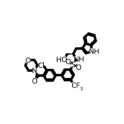 O=C(c1ccc(-c2cc(C(F)(F)F)cc(S(=O)(=O)N[C@@H](CO)Cc3c[nH]c4ccccc34)c2)cc1Cl)N1CCOCC1